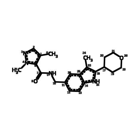 Cc1cnn(C)c1C(=O)NCc1ccc2[nH]c(C3CCOCC3)c(C)c2c1